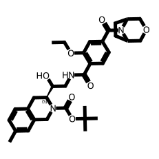 CCOc1cc(C(=O)N2C3CCC2COC3)ccc1C(=O)NCC(O)[C@@H]1Cc2ccc(C)cc2CN1C(=O)OC(C)(C)C